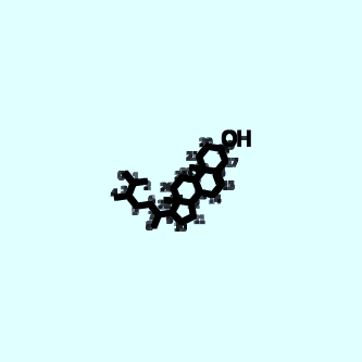 CC(C)C(C)CCC(C)C1CCC2C3CC=C4CC(O)CCC4(C)C3CCC12C